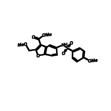 COCc1oc2ccc(NS(=O)(=O)c3ccc(OC)cc3)cc2c1C(=O)OC